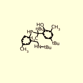 CCCCC(C)(Pc1ccc(C)cc1CNC(C)(C)C)c1cc(C(C)(C)C)cc(C)c1O